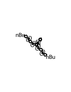 CCCCC1CCC(C(=O)OC2CCC(C(=O)Oc3ccc(OC(=O)C4CCC(OC(=O)C5CCC(CCCC)CC5)CC4)c4sc(-c5ccccc5)nc34)CC2)CC1